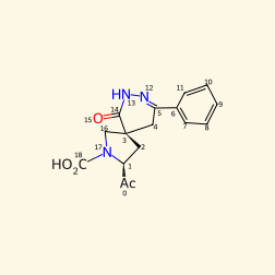 CC(=O)[C@@H]1C[C@@]2(CC(c3ccccc3)=NNC2=O)CN1C(=O)O